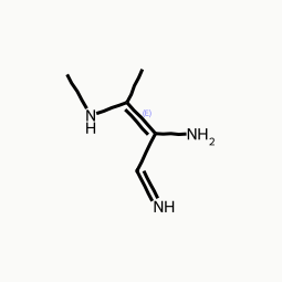 CN/C(C)=C(/N)C=N